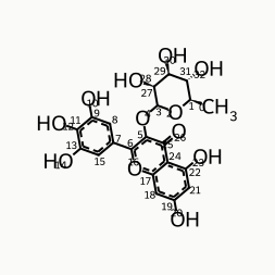 C[C@H]1OC(Oc2c(-c3cc(O)c(O)c(O)c3)oc3cc(O)cc(O)c3c2=O)[C@@H](O)[C@@H](O)[C@@H]1O